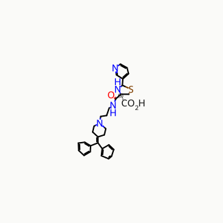 O=C(O)[C@@]1(C(=O)NCCCN2CCC(=C(c3ccccc3)c3ccccc3)CC2)CSC(c2cccnc2)N1